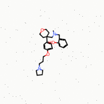 CN(Cc1ccccc1O)CC1(c2ccc(OCCCN3CCCC3)cc2)CCOCC1